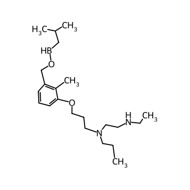 CCCN(CCCOc1cccc(COBCC(C)C)c1C)CCNCC